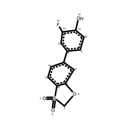 O=S1(=O)COc2cc(-c3ccc(O)c(F)c3)ccc21